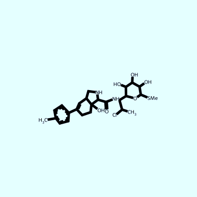 CSC1OC(C(NC(=O)C2NCC3C=C(c4ccc(C)cc4)CCC32O)C(C)Cl)C(O)C(O)C1O